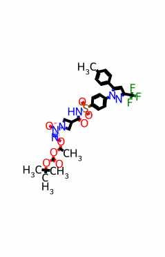 Cc1ccc(-c2cc(C(F)(F)F)nn2-c2ccc(S(=O)(=O)NC(=O)C3CN(/[N+]([O-])=N\OC(C)OC(=O)OC(C)(C)C)C3)cc2)cc1